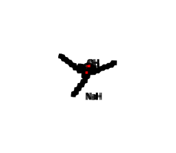 CCCCCCCCCc1ccc([PH](OP(O)O)(c2ccc(CCCCCCCCC)cc2)c2ccc(CCCCCCCCC)cc2)cc1.[NaH]